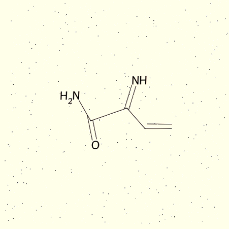 C=CC(=N)C(N)=O